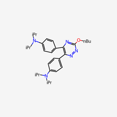 CCCCOc1nnc(-c2ccc(N(C(C)C)C(C)C)cc2)c(-c2ccc(N(C(C)C)C(C)C)cc2)n1